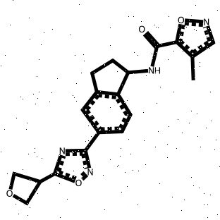 Cc1cnoc1C(=O)NC1CCc2cc(-c3noc(C4COC4)n3)ccc21